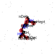 C=CCCP(=O)(OCCNC(=O)NCCOP(=O)(OCC=C)OC[C@@H](COCC[C@@H](CCCCCCC)OC(=O)CCCCCCCCCCC)NC(=O)CC(=O)CCCCCCCCCCC)OC[C@@H](COCC[C@@H](CCCCCCC)OC(=O)CCCCCCCCCCC)NC(=O)CC(=O)CCCCCCCCCCC